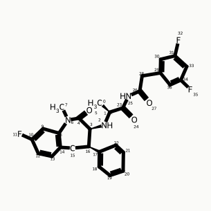 C[C@H](N[C@@H]1C(=O)N(C)c2cc(F)ccc2C[C@@H]1c1ccccc1)C(=O)NC(=O)Cc1cc(F)cc(F)c1